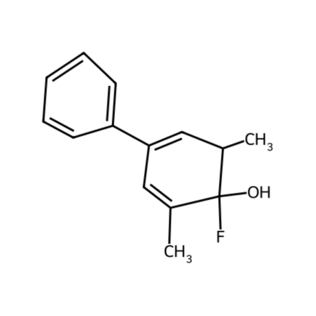 CC1=CC(c2ccccc2)=CC(C)C1(O)F